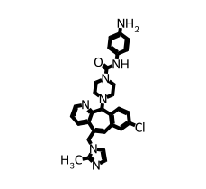 Cc1nccn1CC1=Cc2cc(Cl)ccc2C(N2CCN(C(=O)Nc3ccc(N)cc3)CC2)c2ncccc21